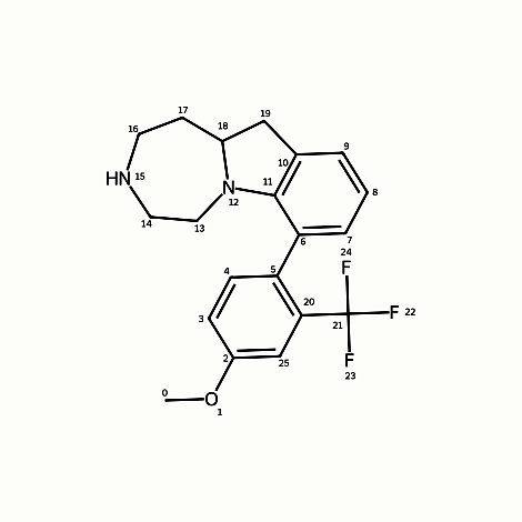 COc1ccc(-c2cccc3c2N2CCNCCC2C3)c(C(F)(F)F)c1